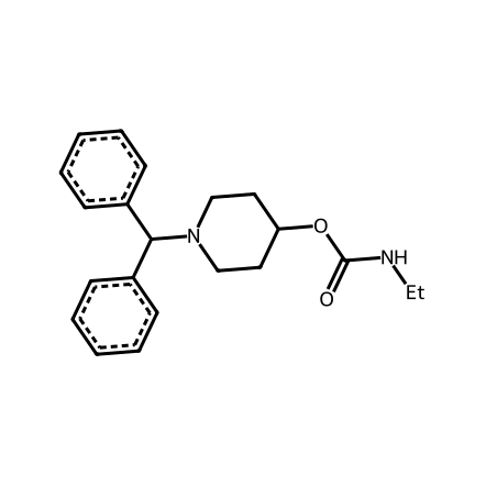 CCNC(=O)OC1CCN(C(c2ccccc2)c2ccccc2)CC1